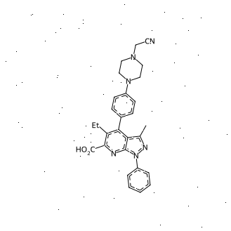 CCc1c(C(=O)O)nc2c(c(C)nn2-c2ccccc2)c1-c1ccc(N2CCN(CC#N)CC2)cc1